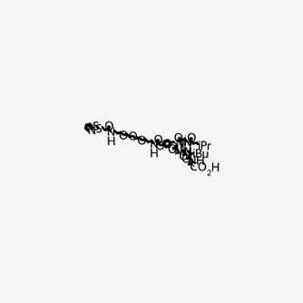 CCC(C)C(NC(=O)CN(C)C(=O)[C@@H](Cc1ccc(OC(=O)NCCCOCCOCCOCCCNC(=O)CCSSc2ccccn2)cc1)N(C)C(=O)[C@H](C)NC(=O)CCC(C)C)C(=O)N[C@H](C)C(=O)O